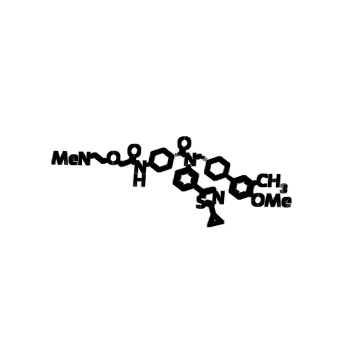 CNCCOCC(=O)N[C@H]1CC[C@H](C(=O)N(C[C@H]2CC[C@H](c3ccc(OC)c(C)c3)CC2)c2cccc(-c3cnc(C4CC4)s3)c2)CC1